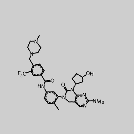 CNc1ncc2c(n1)N([C@H]1CC[C@@H](O)C1)C(=O)N(c1cc(NC(=O)c3ccc(CN4CCN(C)CC4)c(C(F)(F)F)c3)ccc1C)C2